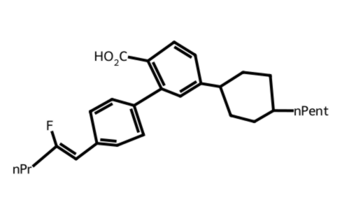 CCCCCC1CCC(c2ccc(C(=O)O)c(-c3ccc(C=C(F)CCC)cc3)c2)CC1